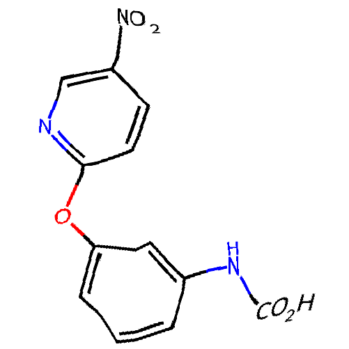 O=C(O)Nc1cccc(Oc2ccc([N+](=O)[O-])cn2)c1